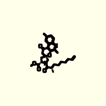 C=CCCCCC[C@H](C)C(=O)N1C[C@@]2(CC(=O)c3c(c(C)nc4ccc(C)cc34)O2)C[C@H]1C(=O)OC